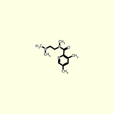 Cc1cnc(C(=O)N(C)CCN(C)C)c(C)c1